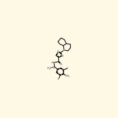 Cc1c(F)cc([C@@H](C)NC(=O)c2coc(N3CCCC4CCCCC43)n2)cc1F